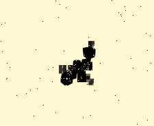 NOC(C(=O)NCCc1ccc(F)cc1)C(N)CC1CCCCC1